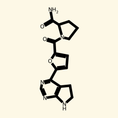 NC(=O)C1CCCN1C(=O)c1ccc(-c2ncnc3c2CCN3)o1